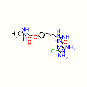 CC(=N)NCC(O)COc1ccc(CCCCNC(=N)NC(=O)c2nc(Cl)c(N)nc2N)cc1